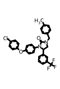 Cc1ccc(CN2CC(c3cccc(C(F)(F)F)c3)N(c3ccc(Oc4ccc(Cl)cc4)cc3)C2=O)cc1